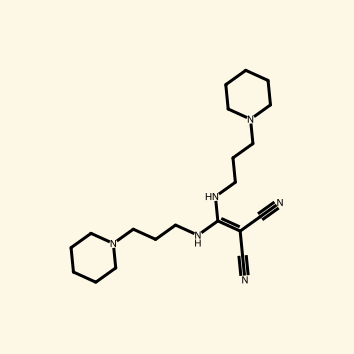 N#CC(C#N)=C(NCCCN1CCCCC1)NCCCN1CCCCC1